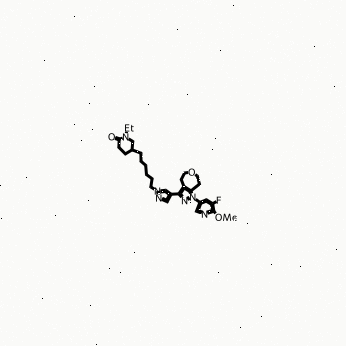 CCN1CC(CCCCCCn2cc(-c3nn(-c4cnc(OC)c(F)c4)c4c3CCOCC4)cn2)CCC1=O